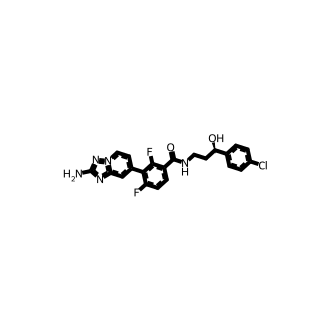 Nc1nc2cc(-c3c(F)ccc(C(=O)NCC[C@@H](O)c4ccc(Cl)cc4)c3F)ccn2n1